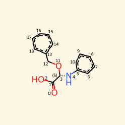 O=C(O)[C@@H](Nc1ccccc1)OCc1ccccc1